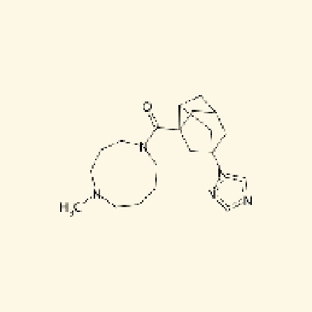 CN1CCCCN(C(=O)C23CC4CC2CC(n2cncn2)(C4)C3)CCC1